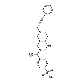 CC(c1ccc(S(N)(=O)=O)cc1)N1CNC2=C(CN(CC#Cc3ccccc3)CC2)C1